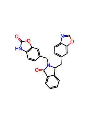 O=C1c2ccccc2C(Cc2ccc3ncoc3c2)N1Cc1ccc2[nH]c(=O)oc2c1